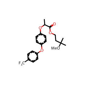 COC(C)(C)CCOC(=O)C(C)Oc1ccc(Oc2ccc(C(F)(F)F)cc2)cc1